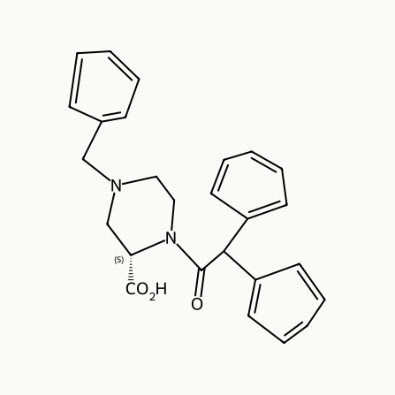 O=C(O)[C@@H]1CN(Cc2ccccc2)CCN1C(=O)C(c1ccccc1)c1ccccc1